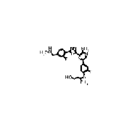 CNCc1ccc(-c2nnc(-c3nc(-c4ccc(SC(C)CCO)c(F)c4)cnc3N)o2)c(F)c1